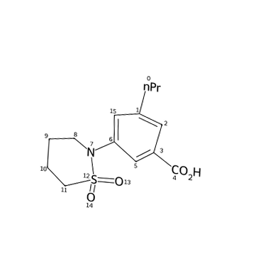 CCCc1cc(C(=O)O)cc(N2CCCCS2(=O)=O)c1